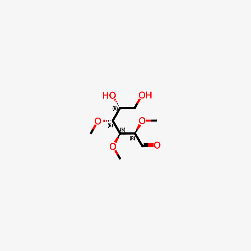 CO[C@@H]([C@H](OC)[C@H](C=O)OC)[C@H](O)CO